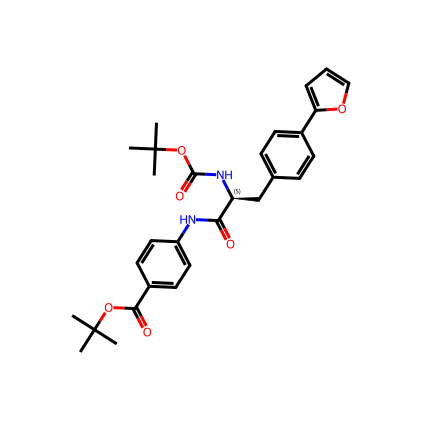 CC(C)(C)OC(=O)N[C@@H](Cc1ccc(-c2ccco2)cc1)C(=O)Nc1ccc(C(=O)OC(C)(C)C)cc1